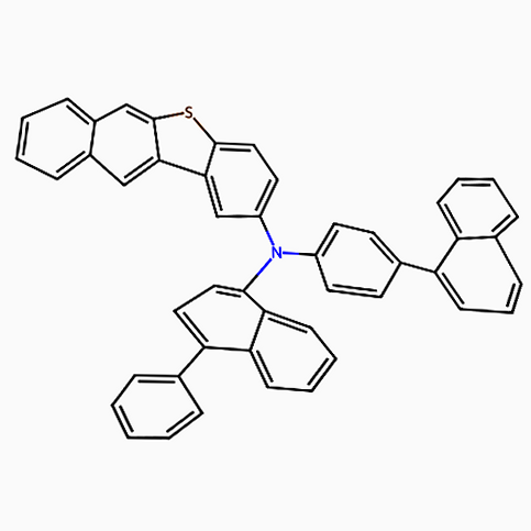 c1ccc(-c2ccc(N(c3ccc(-c4cccc5ccccc45)cc3)c3ccc4sc5cc6ccccc6cc5c4c3)c3ccccc23)cc1